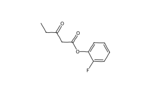 CCC(=O)CC(=O)Oc1ccccc1F